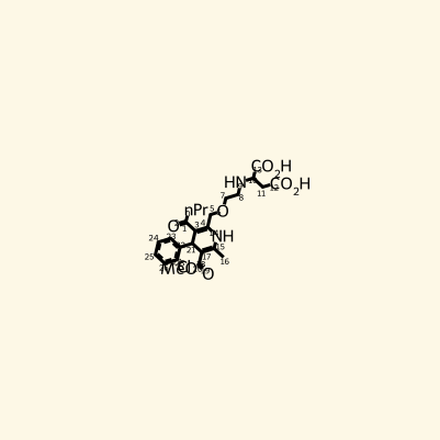 CCCC(=O)C1=C(COCCNC(CC(=O)O)C(=O)O)NC(C)=C(C(=O)OC)C1c1ccccc1Cl